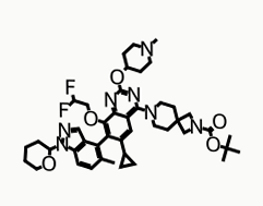 Cc1ccc2c(cnn2C2CCCCO2)c1-c1c(C2CC2)cc2c(N3CCC4(CC3)CN(C(=O)OC(C)(C)C)C4)nc(OC3CCN(C)CC3)nc2c1OCC(F)F